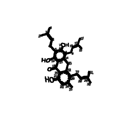 CC(C)=CCc1c(O)c(CC=C(C)C)c2c(c1O)C(=O)c1c(O)cc(C)c(CC=C(C)C)c1C2